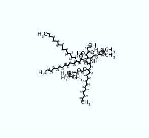 CCCCCCCCCCCCCC[C@H](CCCCCCCCCCC)CC(=O)O[C@H]1[C@H](O)[C@@H](CO)O[C@H](OCC[Si](C)(C)C)[C@H]1NC(=O)C[C@@H](CCCCCCCCCCC)OCOCC[Si](C)(C)C